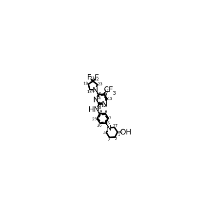 O[C@H]1CCCN(c2ccc(Nc3ncc(C(F)(F)F)c(N4CCC(F)(F)C4)n3)cc2)C1